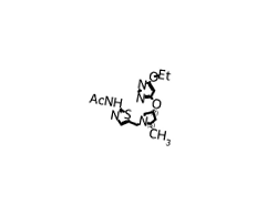 CCOc1cc(O[C@@H]2C[C@H](C)N(Cc3cnc(NC(C)=O)s3)C2)ncn1